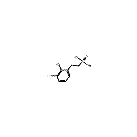 O=P(O)(O)CCc1cccc(O)c1O